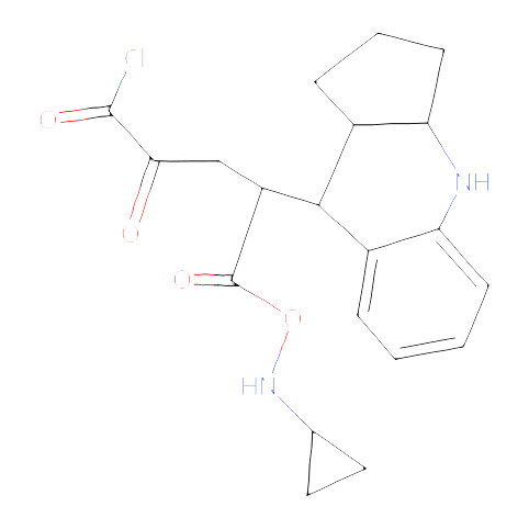 O=C(Cl)C(=O)CC(C(=O)ONC1CC1)C1c2ccccc2NC2CCCC21